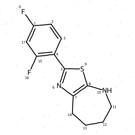 Fc1ccc(-c2nc3c(s2)NCCCC3)c(F)c1